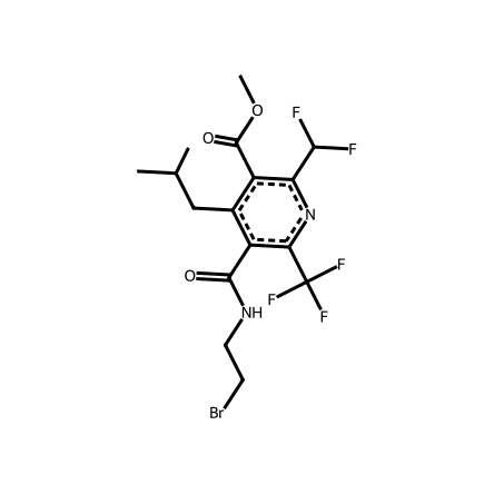 COC(=O)c1c(C(F)F)nc(C(F)(F)F)c(C(=O)NCCBr)c1CC(C)C